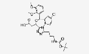 COc1cccc(C2OC(CC(=O)O)c3nnc(CCCNC(=O)OC(C)(C)C)n3-c3ccc(Cl)cc32)c1OC